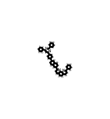 c1ccc(-c2cc(-c3ccc(-c4ccc5cc(-c6ccc7ccc8ccc(-c9ccccc9)nc8c7n6)ccc5c4)cc3)nc(-c3ccccc3)n2)cc1